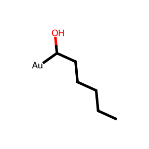 CCCCC[CH](O)[Au]